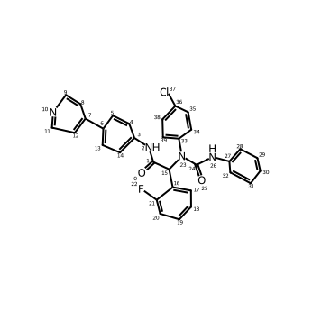 O=C(Nc1ccc(-c2ccncc2)cc1)C(c1ccccc1F)N(C(=O)Nc1ccccc1)c1ccc(Cl)cc1